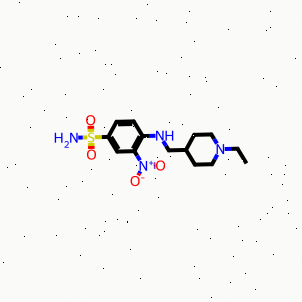 CCN1CCC(CNc2ccc(S(N)(=O)=O)cc2[N+](=O)[O-])CC1